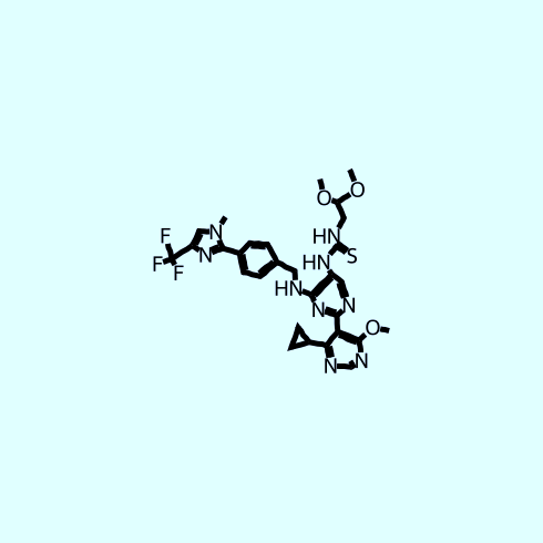 COc1ncnc(C2CC2)c1-c1ncc(NC(=S)NCC(OC)OC)c(NCc2ccc(-c3nc(C(F)(F)F)cn3C)cc2)n1